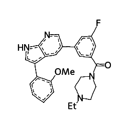 CCN1CCN(C(=O)c2cc(F)cc(-c3cnc4[nH]cc(-c5ccccc5OC)c4c3)c2)CC1